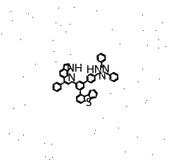 C1=CC2Sc3ccccc3C2C(c2cc(-c3ccc(C4N=C(c5ccccc5)N=C(c5ccccc5)N4)cc3)cc(-c3cc(-c4ccccc4)c4ccc5cc[nH]c5c4n3)c2)=C1